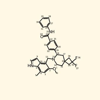 COc1cc(C)c2[nH]ccc2c1CN1CCC2(C[C@@H]1c1ccc(C(=O)Nc3ccccc3)cc1)CC(F)(F)C2